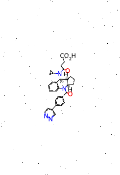 O=C(O)CCC(=O)N(C1CC1)[C@H]1c2ccccc2N(C(=O)c2ccc(-c3ccnnc3)cc2)[C@@H]2CCC[C@@H]21